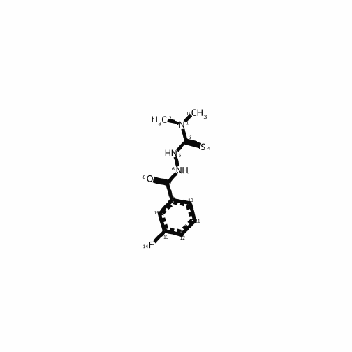 CN(C)C(=S)NNC(=O)c1cccc(F)c1